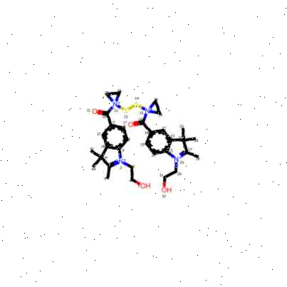 CC1=[N+](CCO)c2ccc(C(=O)[N+]3(SS[N+]4(C(=O)c5ccc6c(c5)C(C)(C)C(C)=[N+]6CCO)CC4)CC3)cc2C1(C)C